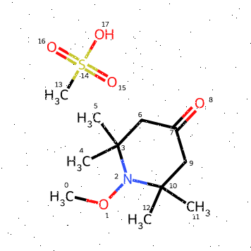 CON1C(C)(C)CC(=O)CC1(C)C.CS(=O)(=O)O